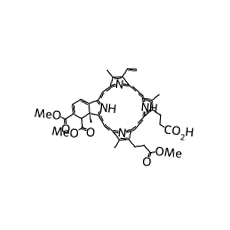 C=CC1=C(C)c2cc3[nH]c(cc4nc(cc5[nH]c(cc1n2)c(C)c5CCC(=O)O)C(CCC(=O)OC)=C4C)[C@@]1(C)C3=CC=C(C(=O)OC)C1C(=O)OC